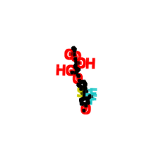 C=CC(=O)OCC(O)CCC(CO)COc1ccc2cc(-c3ccc(OC)cc3C(F)(F)F)sc2c1